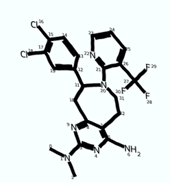 CN(C)c1nc(N)c2c(n1)CC(c1ccc(Cl)c(Cl)c1)N(c1ncccc1C(F)(F)F)CC2